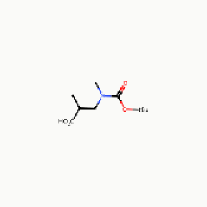 CC(CN(C)C(=O)OC(C)(C)C)C(=O)O